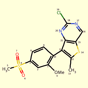 COc1cc(S(C)(=O)=O)ccc1-c1c(C)sc2cnc(Cl)nc12